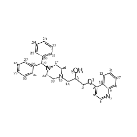 OC(COc1ccnc2ccccc12)CN1CCN(C(c2ccccc2)c2ccccc2)CC1